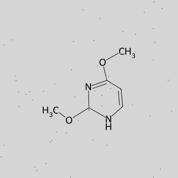 CO[C]1N=C(OC)C=CN1